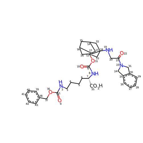 O=C(NCCCC[C@H](NC(=O)OC12CC3CC(CC(NCC(=O)N4Cc5ccccc5C4)(C3)C1)C2)C(=O)O)OCc1ccccc1